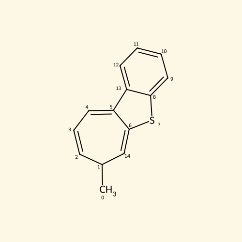 CC1C=CC=c2c(sc3ccccc23)=C1